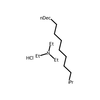 CCCCCCCCCCCCCCCCCC(C)C.CCN(CC)CC.Cl